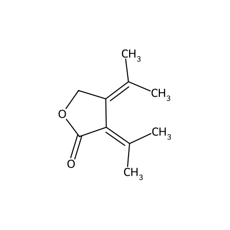 CC(C)=C1COC(=O)C1=C(C)C